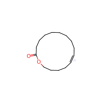 O=C1CCCCCCCC/C=C\CCCCO1